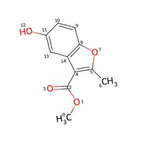 COC(=O)c1c(C)oc2ccc(O)cc12